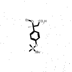 CCO[C@@](C)(CC(=O)O)c1ccc(O[Si](C)(C)C(C)(C)C)cc1